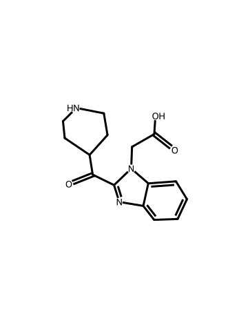 O=C(O)Cn1c(C(=O)C2CCNCC2)nc2ccccc21